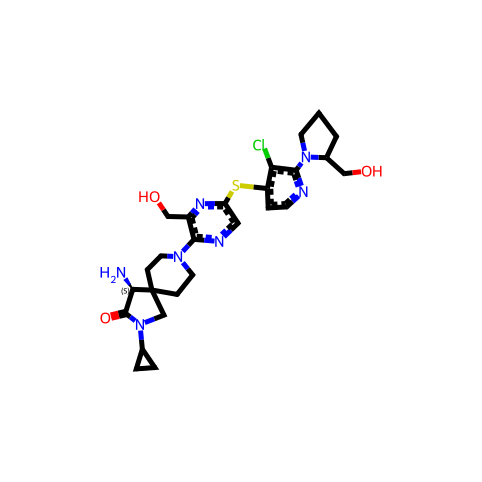 N[C@@H]1C(=O)N(C2CC2)CC12CCN(c1ncc(Sc3ccnc(N4CCCC4CO)c3Cl)nc1CO)CC2